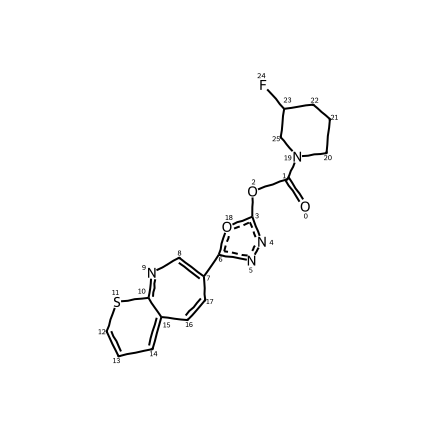 O=C(Oc1nnc(C2=CN=C3SC=CC=C3C=C2)o1)N1CCCC(F)C1